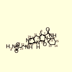 Cc1c2c(c(=O)n3c1C(=O)NC31CCCCC1)Nc1cc(NCCS(N)(=O)=O)ncc1C2